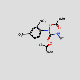 COC(=O)Cl.COC(=O)ON(C(=O)NC(C)C)c1ccc([N+](=O)[O-])cc1[N+](=O)[O-]